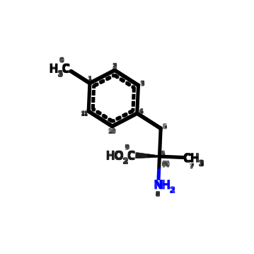 Cc1ccc(C[C@](C)(N)C(=O)O)cc1